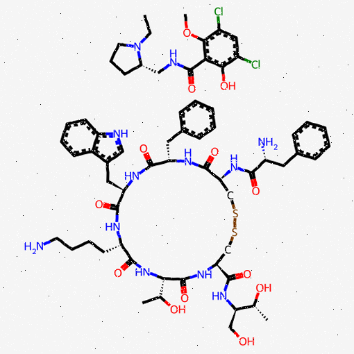 CC(O)[C@@H]1NC(=O)[C@H](CCCCN)NC(=O)[C@@H](Cc2c[nH]c3ccccc23)NC(=O)[C@H](Cc2ccccc2)NC(=O)[C@@H](NC(=O)[C@H](N)Cc2ccccc2)CSSC[C@@H](C(=O)N[C@H](CO)[C@@H](C)O)NC1=O.CCN1CCC[C@H]1CNC(=O)c1c(O)c(Cl)cc(Cl)c1OC